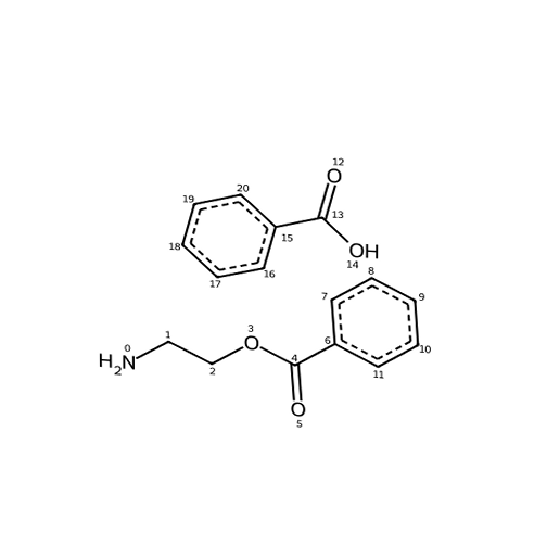 NCCOC(=O)c1ccccc1.O=C(O)c1ccccc1